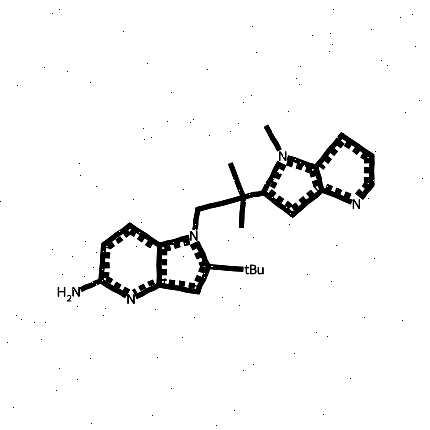 Cn1c(C(C)(C)Cn2c(C(C)(C)C)cc3nc(N)ccc32)cc2ncccc21